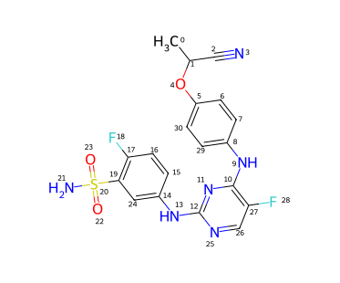 CC(C#N)Oc1ccc(Nc2nc(Nc3ccc(F)c(S(N)(=O)=O)c3)ncc2F)cc1